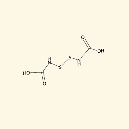 O=C(O)NSSNC(=O)O